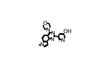 Cn1ccc2c3nc(-c4cncc(O)c4)nc(N4CCOCC4)c3ccc21